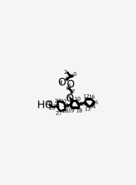 C=C(C)C(=O)OCCOc1cc(-c2ccccc2)ccc1C1CCC(CO)CC1